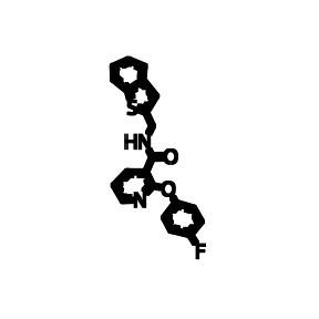 O=C(NCc1cc2ccccc2s1)c1cccnc1Oc1ccc(F)cc1